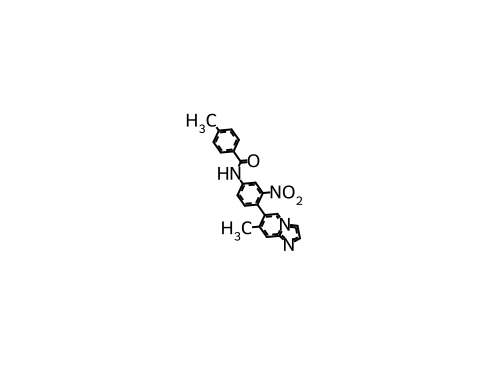 Cc1ccc(C(=O)Nc2ccc(-c3cn4ccnc4cc3C)c([N+](=O)[O-])c2)cc1